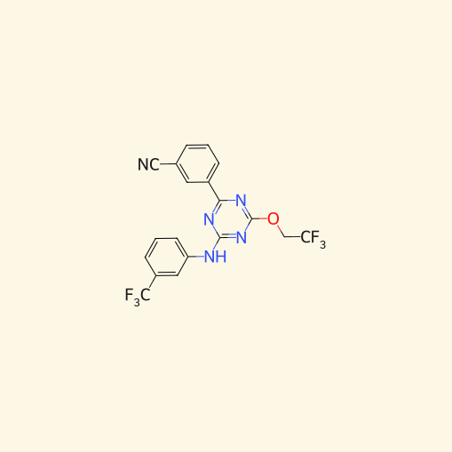 N#Cc1cccc(-c2nc(Nc3cccc(C(F)(F)F)c3)nc(OCC(F)(F)F)n2)c1